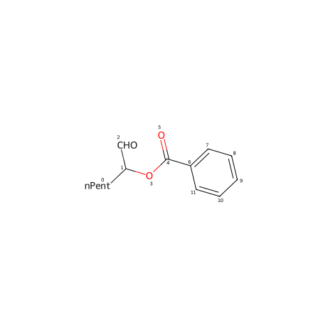 CCCCCC(C=O)OC(=O)c1ccccc1